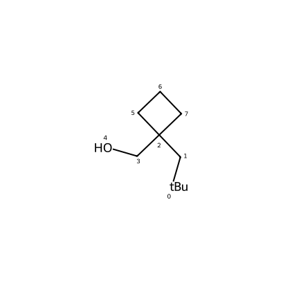 CC(C)(C)CC1(CO)CCC1